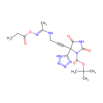 CCC(=O)ON=C(C)NCC#CC1(c2nnn[nH]2)C(=O)NC(=O)N1C(=O)OC(C)(C)C